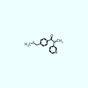 CSCc1ccc(C(=O)N(C)c2cccnc2)cc1